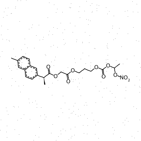 Cc1ccc2cc([C@H](C)C(=O)OCC(=O)OCCCOC(=O)OC(C)O[N+](=O)[O-])ccc2c1